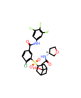 O=C(CC1(O)C2CC1CC(S(=O)(=O)c1cc(C(=O)Nc3cc(F)c(F)c(F)c3)ccc1Cl)C2)N[C@@H]1CCOC1